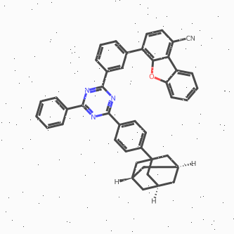 N#Cc1ccc(-c2cccc(-c3nc(-c4ccccc4)nc(-c4ccc(C56C[C@H]7C[C@H](C5)C[C@@H](C6)C7)cc4)n3)c2)c2oc3ccccc3c12